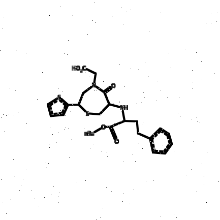 CCCCOC(=O)C(CCc1ccccc1)NC1CSC(c2cccs2)CN(CC(=O)O)C1=O